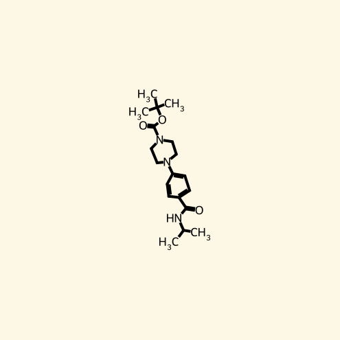 CC(C)NC(=O)c1ccc(N2CCN(C(=O)OC(C)(C)C)CC2)cc1